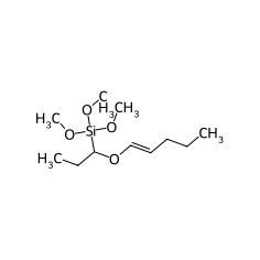 CCCC=COC(CC)[Si](OC)(OC)OC